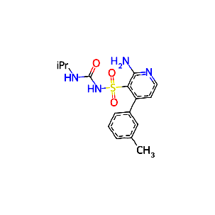 Cc1cccc(-c2ccnc(N)c2S(=O)(=O)NC(=O)NC(C)C)c1